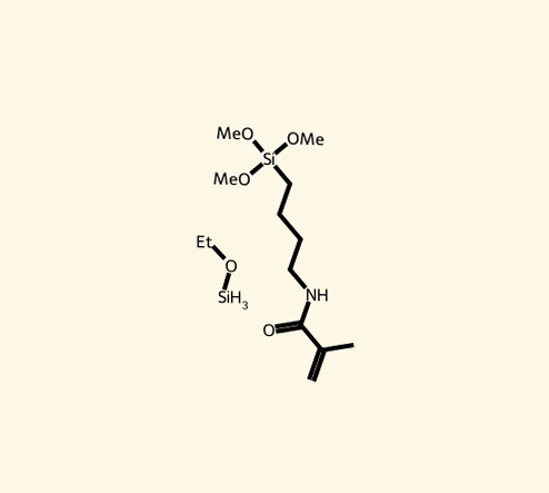 C=C(C)C(=O)NCCCC[Si](OC)(OC)OC.CCO[SiH3]